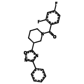 O=C(c1ccc(F)cc1F)N1CCCC(c2nc(-c3ccccc3)no2)C1